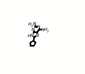 Nc1nc(N)c2nc(C3CCCC3)[nH]c2n1